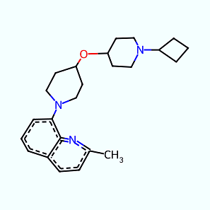 Cc1ccc2cccc(N3CCC(OC4CCN(C5CCC5)CC4)CC3)c2n1